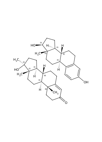 C[C@]12CCC(=O)C=C1CC[C@@H]1[C@@H]2CC[C@@]2(C)[C@H]1CC[C@]2(C)O.C[C@]12CC[C@@H]3c4ccc(O)cc4CC[C@H]3[C@@H]1CC[C@@H]2O